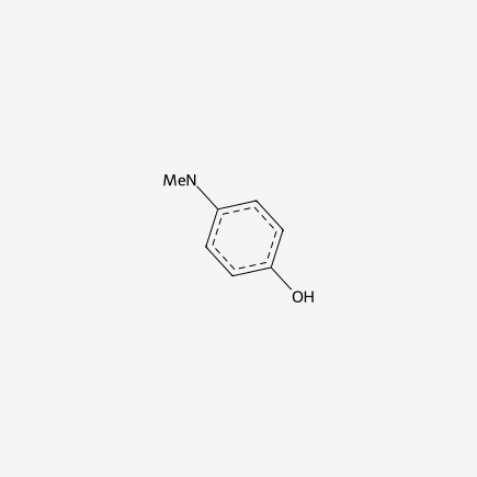 [C]Nc1ccc(O)cc1